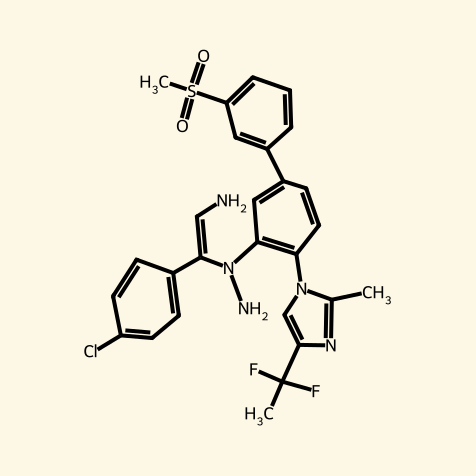 Cc1nc(C(C)(F)F)cn1-c1ccc(-c2cccc(S(C)(=O)=O)c2)cc1N(N)/C(=C\N)c1ccc(Cl)cc1